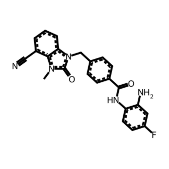 Cn1c(=O)n(Cc2ccc(C(=O)Nc3ccc(F)cc3N)cc2)c2cccc(C#N)c21